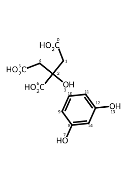 O=C(O)CC(O)(CC(=O)O)C(=O)O.Oc1cccc(O)c1